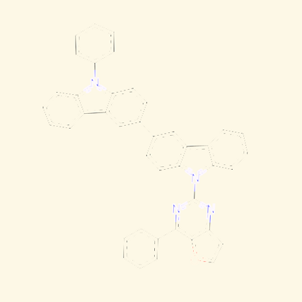 c1ccc(-c2nc(-n3c4ccccc4c4cc(-c5ccc6c(c5)c5ccccc5n6-c5ccccc5)ccc43)nc3ccoc23)cc1